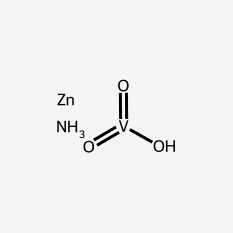 N.[O]=[V](=[O])[OH].[Zn]